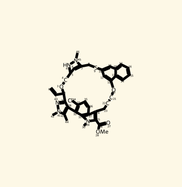 C=CC1OCC2C=C(CSc3cc(c4ccccc4c3)OCCCc3c(C(=O)OC)n(C)c4c(c(Cl)ccc34)-c3c1nn(C)c3C)N(C)N2